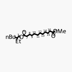 CCCCC(CC)COC(=O)CCCCCCCCCCC(=O)OC